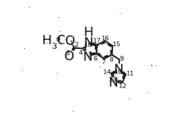 COC(=O)c1nc2cc(Cn3ccnc3)ccc2[nH]1